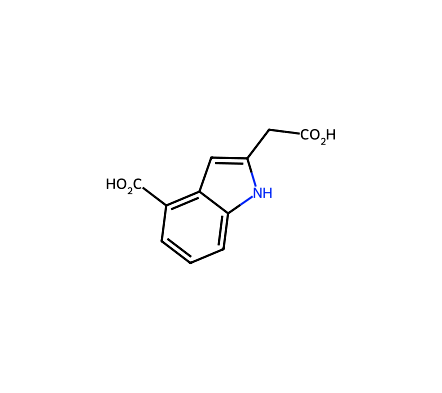 O=C(O)Cc1cc2c(C(=O)O)cccc2[nH]1